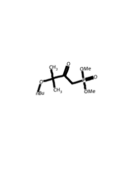 CCCCOC(C)(C)C(=O)CP(=O)(OC)OC